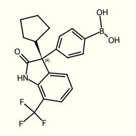 O=C1Nc2c(C(F)(F)F)cccc2[C@]1(c1ccc(B(O)O)cc1)C1CCCC1